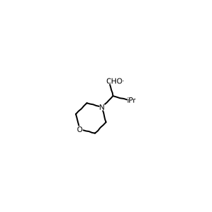 CC(C)C([C]=O)N1CCOCC1